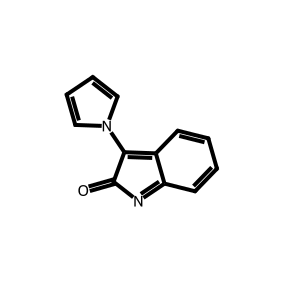 O=C1N=c2ccccc2=C1n1cccc1